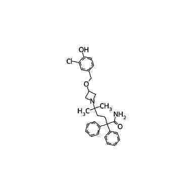 CC(C)(CCC(C(N)=O)(c1ccccc1)c1ccccc1)N1CC(OCc2ccc(O)c(Cl)c2)C1